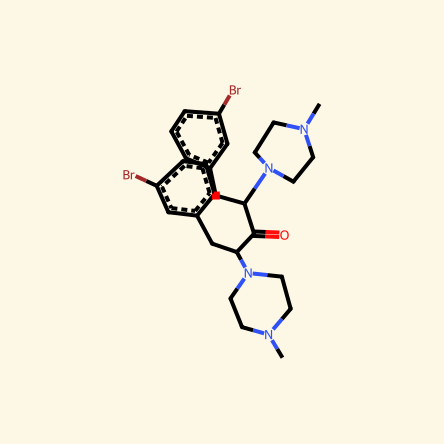 CN1CCN(C(Cc2cccc(Br)c2)C(=O)C(Cc2cccc(Br)c2)N2CCN(C)CC2)CC1